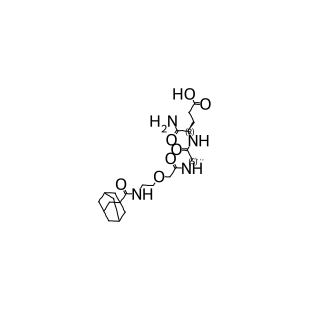 C[C@H](NC(=O)COCCNC(=O)C12CC3CC(CC(C3)C1)C2)C(=O)N[C@H](CCC(=O)O)C(N)=O